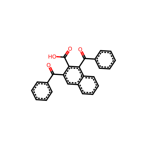 O=C(c1ccccc1)c1cc2ccccc2c(C(=O)c2ccccc2)c1C(=O)O